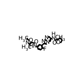 Cc1nc(C)c(C(=O)Nc2ccc(F)c(-c3cn4cc(NC(=O)C5(C)CCCO5)cnc4n3)c2)o1